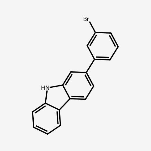 Brc1cccc(-c2ccc3c(c2)[nH]c2ccccc23)c1